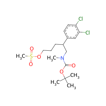 CN(CC(CCCOS(C)(=O)=O)c1ccc(Cl)c(Cl)c1)C(=O)OC(C)(C)C